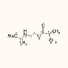 C=C(NCCOC(=O)C(=C)C)OC